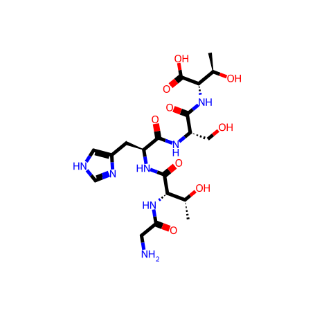 C[C@@H](O)[C@H](NC(=O)[C@H](CO)NC(=O)[C@H](Cc1c[nH]cn1)NC(=O)[C@@H](NC(=O)CN)[C@@H](C)O)C(=O)O